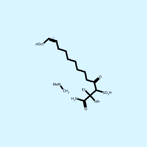 CCCCCCCC/C=C\CCCCCCCC(=O)C(C(CC)(CCC)C(N)=O)S(=O)(=O)O.CNC